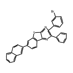 Brc1cccc(-c2nc3sc4cc(-c5ccc6ccccc6c5)ccc4c3nc2-c2ccccc2)c1